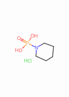 Cl.O=P(O)(O)N1CCCCC1